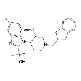 CO[C@@H]1CN(CC2Cc3ccccc3C2)CC[C@H]1n1c(C(C)(C)O)nc2cc(C)ccc21